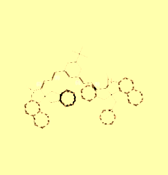 CN1/C(=C/C=C/C2=CC(=C/C=C/C3=[N+](C)c4ccc5ccccc5c4C3(Cc3ccccc3)Cc3ccccc3)/CC(C(C)(C)C)C2)C(Cc2ccccc2)(Cc2ccccc2)c2c1ccc1ccccc21